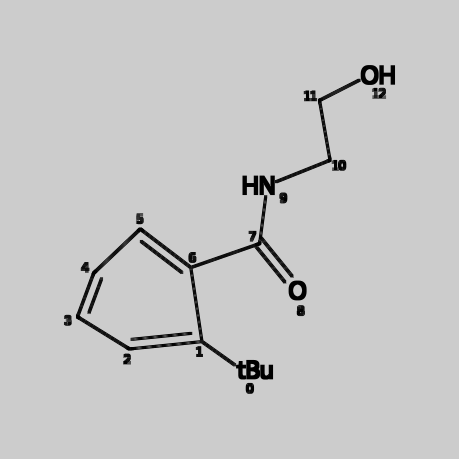 CC(C)(C)c1ccccc1C(=O)NCCO